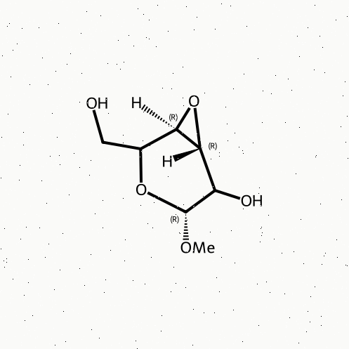 CO[C@@H]1OC(CO)[C@H]2O[C@@H]2C1O